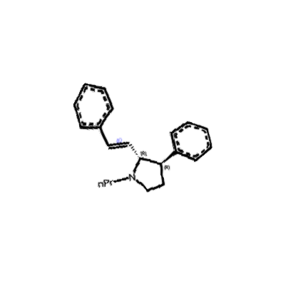 CCCN1CC[C@H](c2ccccc2)[C@H]1/C=C/c1ccccc1